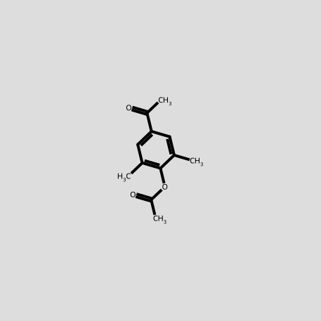 CC(=O)Oc1c(C)cc(C(C)=O)cc1C